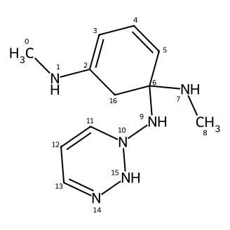 CNC1=CC=CC(NC)(NN2C=CC=NN2)C1